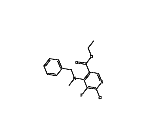 CCOC(=O)c1cnc(Cl)c(F)c1N(C)Cc1ccccc1